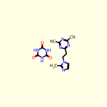 Cc1nccn1CCc1nc(C#N)nc(C#N)n1.O=c1[nH]c(=O)[nH]c(=O)[nH]1